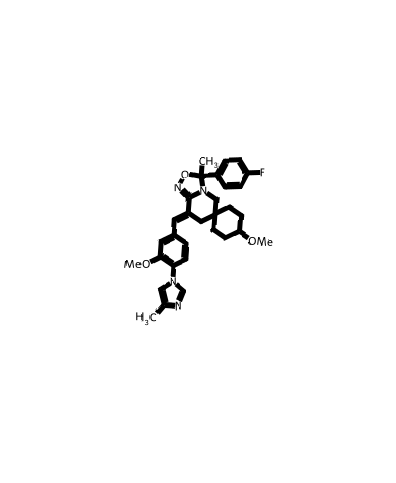 COc1cc(/C=C2\CC3(CCC(OC)CC3)CN3C2=NOC3(C)c2ccc(F)cc2)ccc1-n1cnc(C)c1